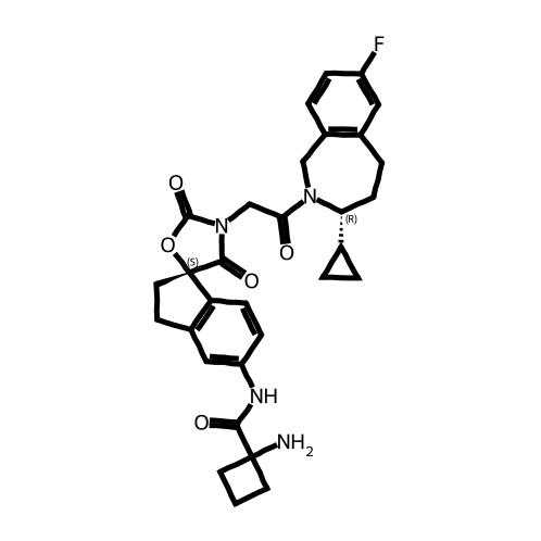 NC1(C(=O)Nc2ccc3c(c2)CC[C@]32OC(=O)N(CC(=O)N3Cc4ccc(F)cc4CC[C@@H]3C3CC3)C2=O)CCC1